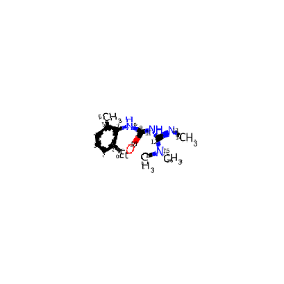 CCc1cccc(C)c1NC(=O)NC(=NC)N(C)C